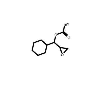 CCCC(=O)OC(C1CCCCC1)C1CO1